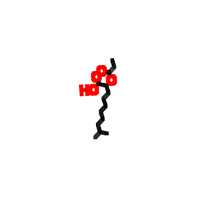 CCC(=O)OC(CCCCCCC(C)C)C(=O)O